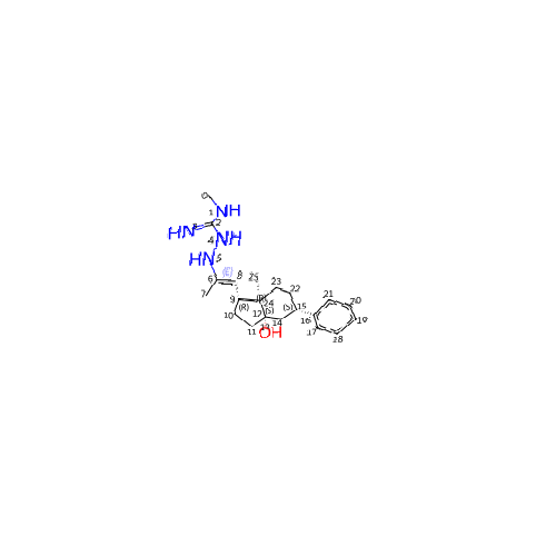 CNC(=N)NN/C(C)=C/[C@H]1CC[C@]2(O)C[C@@H](c3ccccc3)CC[C@]12C